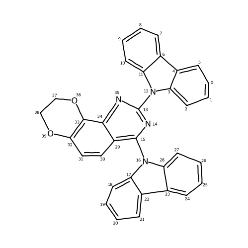 c1ccc2c(c1)c1ccccc1n2-c1nc(-n2c3ccccc3c3ccccc32)c2ccc3c(c2n1)OCCO3